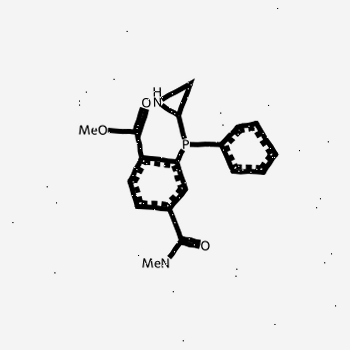 CNC(=O)c1ccc(C(=O)OC)c(P(c2ccccc2)C2CN2)c1